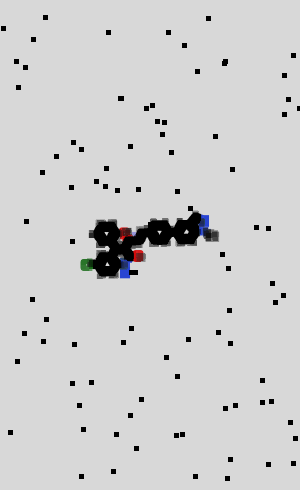 CCn1ncc2cc(-c3ccc(/C=C/C(=O)c4c(-c5ccccc5)c5cc(Cl)ccc5[nH]c4=O)cc3)ccc21